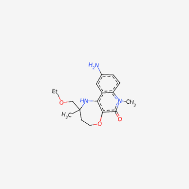 CCOCC1(C)CCOc2c(c3cc(N)ccc3n(C)c2=O)N1